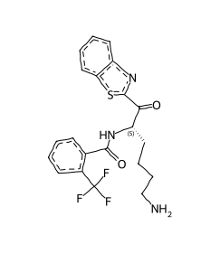 NCCCC[C@H](NC(=O)c1ccccc1C(F)(F)F)C(=O)c1nc2ccccc2s1